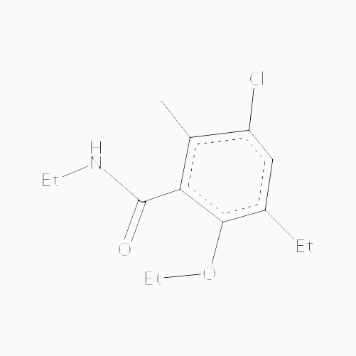 CCNC(=O)c1c(C)c(Cl)cc(CC)c1OCC